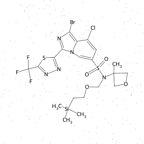 CC1(N(COCC[Si](C)(C)C)S(=O)(=O)c2cc(Cl)c3c(Br)nc(-c4nnc(C(F)(F)F)s4)n3c2)COC1